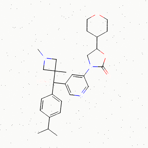 CC(C)c1ccc([C@](O)(c2cncc(N3CC(C4CCOCC4)OC3=O)c2)C2(C)CN(C)C2)cc1